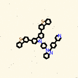 c1ccc2c(c1)nc(-c1ccc(-c3ccncc3)cc1)n2-c1ccc(-n2c3ccc(-c4ccc5sc6ccccc6c5c4)cc3c3cc(-c4ccc5sc6ccccc6c5c4)ccc32)cc1